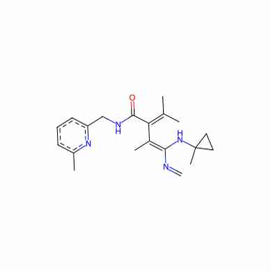 C=N/C(NC1(C)CC1)=C(\C)C(C(=O)NCc1cccc(C)n1)=C(C)C